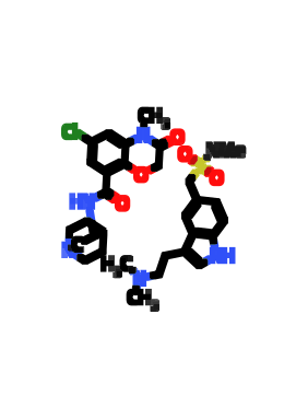 CN1C(=O)COc2c(C(=O)NC3CN4CCC3CC4)cc(Cl)cc21.CNS(=O)(=O)Cc1ccc2[nH]cc(CCN(C)C)c2c1